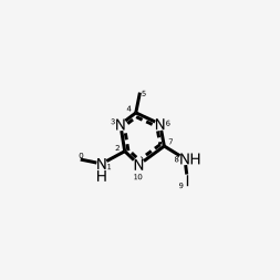 CNc1nc(C)nc(NI)n1